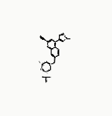 C[C@@H]1CN(Cc2ccc3c(-c4cnn(C)c4)cc(C#N)nc3c2)C[C@H](C(F)(F)F)O1